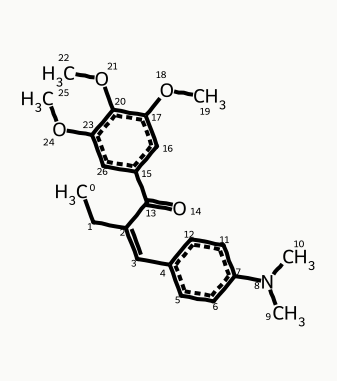 CCC(=Cc1ccc(N(C)C)cc1)C(=O)c1cc(OC)c(OC)c(OC)c1